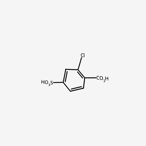 O=C(O)c1ccc(S(=O)(=O)O)cc1Cl